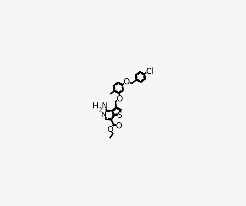 CCOC(=O)c1cnc(N)c2c(COc3cc(OCc4ccc(Cl)cc4)ccc3C)csc12